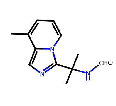 Cc1cccn2c(C(C)(C)NC=O)ncc12